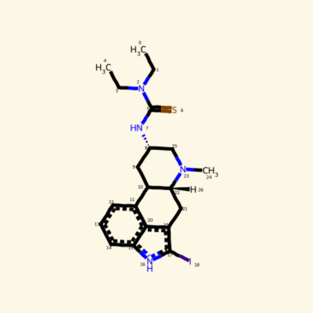 CCN(CC)C(=S)N[C@H]1CC2c3cccc4[nH]c(I)c(c34)C[C@H]2N(C)C1